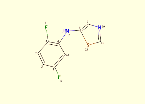 Fc1ccc(F)c(Nc2cncs2)c1